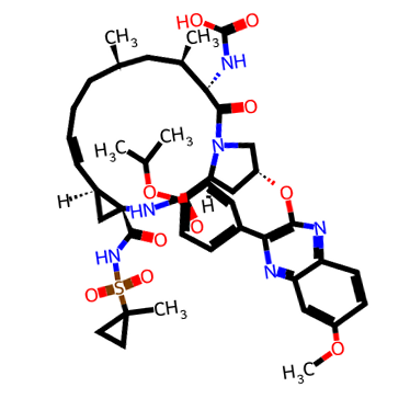 COc1ccc2nc(O[C@@H]3C[C@H]4C(=O)N[C@]5(C(=O)NS(=O)(=O)C6(C)CC6)C[C@H]5/C=C\CC[C@@H](C)C[C@@H](C)[C@H](NC(=O)O)C(=O)N4C3)c(-c3ccc(OC(C)C)cc3)nc2c1